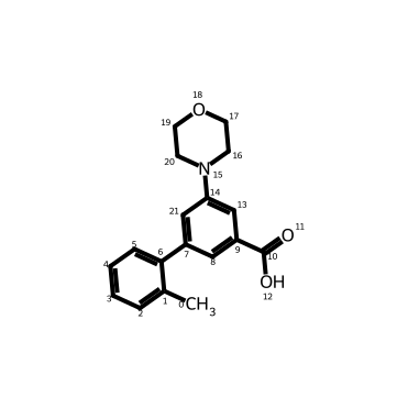 Cc1ccccc1-c1cc(C(=O)O)cc(N2CCOCC2)c1